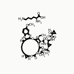 CC[C@@H]1[C@@H]2CN(C(=O)[C@H](C(C)(C)C)NC(=O)O[C@@H]3C[C@H]3CCCCC(F)(F)c3nc4ccc(OC)cc4nc3O2)[C@@H]1C(=O)N[C@]1(C(=O)NS(=O)(=O)C2(C)CC2)C[C@H]1C(F)F.NCCCC[C@H](N)C(=O)O